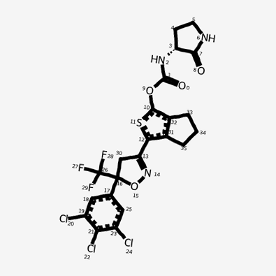 O=C(N[C@@H]1CCNC1=O)Oc1sc(C2=NOC(c3cc(Cl)c(Cl)c(Cl)c3)(C(F)(F)F)C2)c2c1CCC2